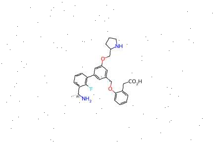 C[C@@H](N)c1cccc(-c2cc(COc3ccccc3CC(=O)O)cc(OCC3CCCN3)c2)c1F